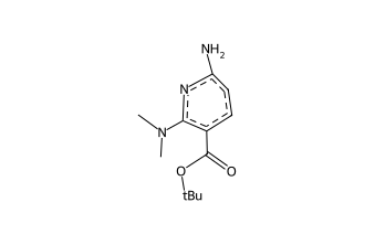 CN(C)c1nc(N)ccc1C(=O)OC(C)(C)C